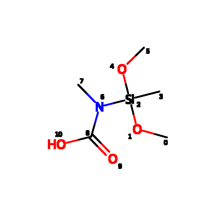 CO[Si](C)(OC)N(C)C(=O)O